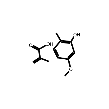 C=C(C)C(=O)O.COc1ccc(C)c(O)c1